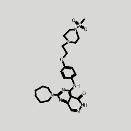 CS(=O)(=O)N1CCN(CCOc2ccc(Nc3nc(N4CCCCCC4)nc4cn[nH]c(=O)c34)cc2)CC1